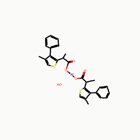 Cc1csc(C(C)C(=O)[O][Al+][O]C(=O)C(C)c2scc(C)c2-c2ccccc2)c1-c1ccccc1.[OH-]